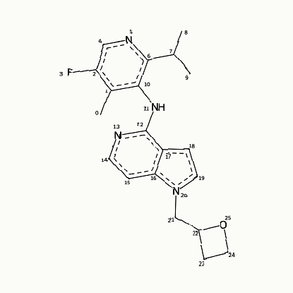 Cc1c(F)cnc(C(C)C)c1Nc1nccc2c1ccn2CC1CCO1